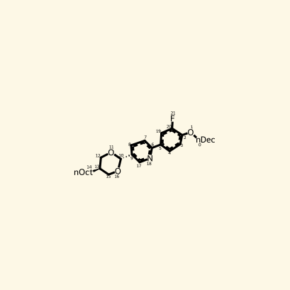 CCCCCCCCCCOc1ccc(-c2ccc([C@H]3OC[C@H](CCCCCCCC)CO3)cn2)cc1F